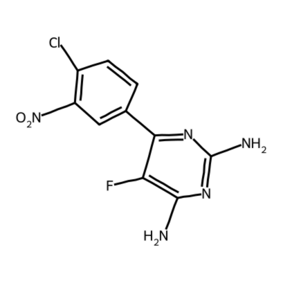 Nc1nc(N)c(F)c(-c2ccc(Cl)c([N+](=O)[O-])c2)n1